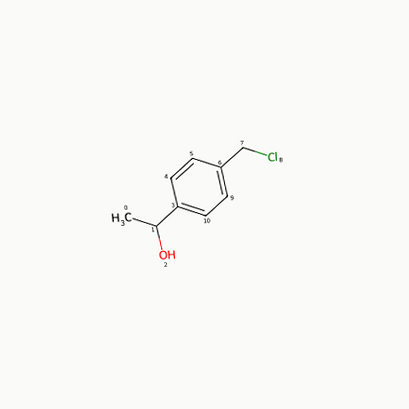 CC(O)c1ccc(CCl)cc1